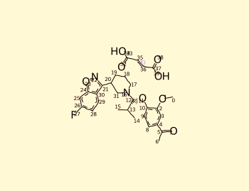 COc1cc(C(C)=O)ccc1O[C@H](C(C)C)N1CCCC(c2noc3cc(F)ccc23)C1.O=C(O)/C=C/C(=O)O